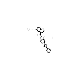 COc1ccc2nccc(C(O)CC[C@@H]3CCN(C4CC(c5ccccc5)C4)C[C@@H]3C(=O)O)c2c1